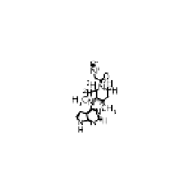 [2H]c1nc(N(C)[C@@H]2[C@H](C)CC([2H])([2H])N(C(=O)C[N+]#[C-])C2([2H])[2H])c2cc[nH]c2n1